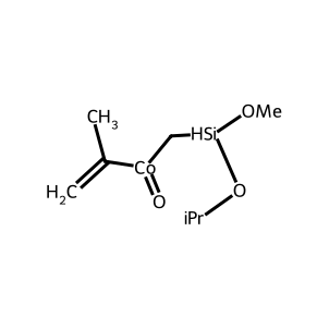 C=[C](C)[Co](=[O])[CH2][SiH](OC)OC(C)C